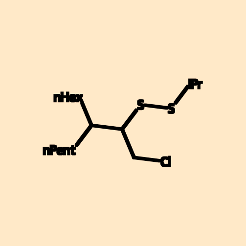 CCCCCCC(CCCCC)C(CCl)SSC(C)C